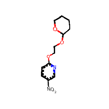 O=[N+]([O-])c1ccc(OCCOC2CCCCO2)nc1